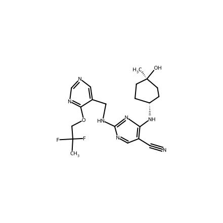 CC(F)(F)COc1ncncc1CNc1ncc(C#N)c(N[C@H]2CC[C@](C)(O)CC2)n1